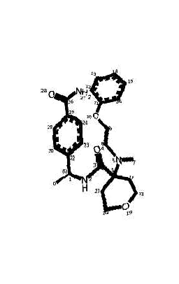 C[C@H](NC(=O)C1(N(C)CCOc2ccccc2)CCOCC1)c1ccc(C(N)=O)cc1